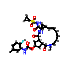 Cc1ccc(F)c(NC(=O)OC2CC3C(=O)NC4(C(=O)NS(=O)(=O)C5CC5)CC4/C=C/CCCCN(C)C(=O)C3C2)c1